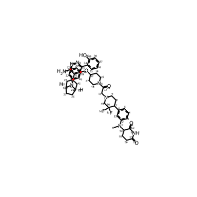 CN(c1cccc(C2CCN(CC(=O)N3CCC(Oc4cccc(N5[C@@H]6CC[C@H]5CN(c5cc(-c7ccccc7O)nnc5N)C6)c4)CC3)CC2(F)F)c1)C1CCC(=O)NC1=O